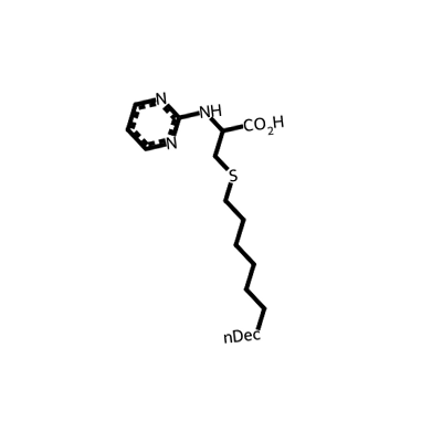 CCCCCCCCCCCCCCCCSCC(Nc1ncccn1)C(=O)O